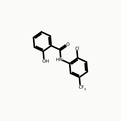 O=C(Nc1cc(C(F)(F)F)ccc1Cl)c1c[c]ccc1O